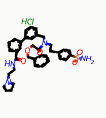 Cl.NS(=O)(=O)c1ccc(CCN(Cc2cccc(-c3cccc(C(=O)NCCN4CCCC4)c3)c2)C(=O)COCc2ccccc2)cc1